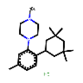 CCCCN1CCN(c2cc(C)ccc2C2CC(C)(C)CC(C)(C)C2)CC1.Cl